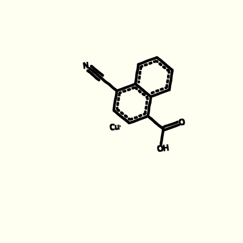 N#Cc1ccc(C(=O)O)c2ccccc12.[Cu]